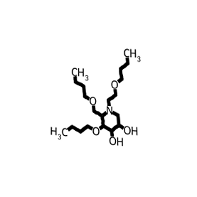 CCCCOCCN1CC(O)C(O)C(OCCCC)C1COCCCC